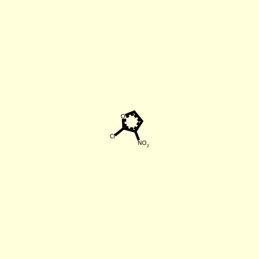 O=[N+]([O-])c1ccoc1Cl